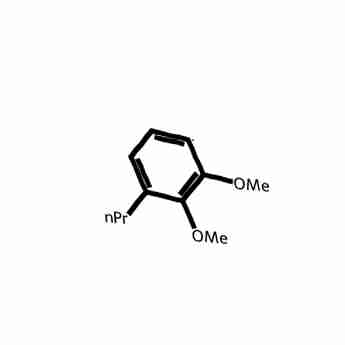 CCCc1cc[c]c(OC)c1OC